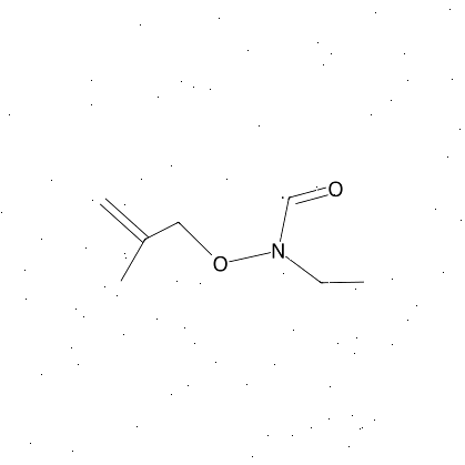 C=C(C)CON([C]=O)CC